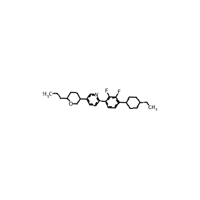 CCCC1CCC(c2ccc(-c3ccc(C4CCC(CC)CC4)c(F)c3F)nc2)CO1